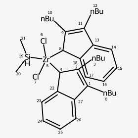 CCCCC1=C(CCCC)[CH]([Zr]([Cl])([Cl])([CH]2C(CCCC)=C(CCCC)c3ccccc32)[SiH](C)C)c2ccccc21